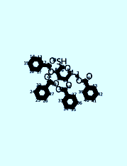 O=C(OC[C@H]1O[C@H](S)[C@H](OC(=O)c2ccccc2)[C@@H](OC(=O)c2ccccc2)[C@H]1OC(=O)c1ccccc1)c1ccccc1